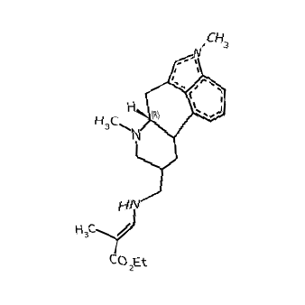 CCOC(=O)C(C)=CNCC1CC2c3cccc4c3c(cn4C)C[C@H]2N(C)C1